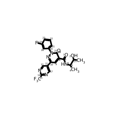 CC(O)C(C)NC(=O)c1cc(-c2cnc(C(F)(F)F)nc2)nn(-c2cccc(F)c2)c1=O